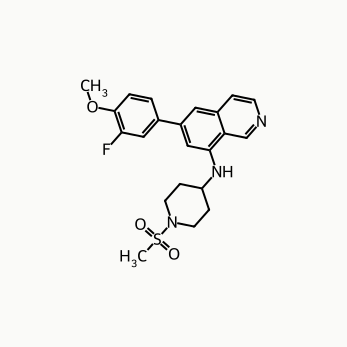 COc1ccc(-c2cc(NC3CCN(S(C)(=O)=O)CC3)c3cnccc3c2)cc1F